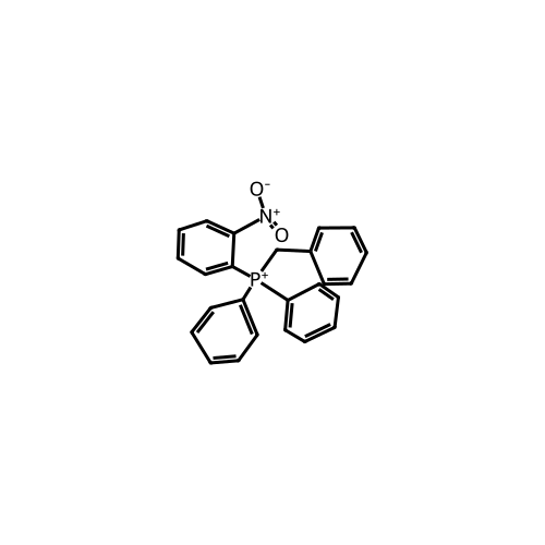 O=[N+]([O-])c1ccccc1[P+](Cc1ccccc1)(c1ccccc1)c1ccccc1